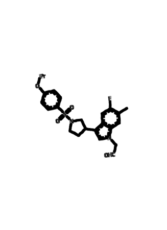 Cc1cc2c(cc1F)c(C1CCN(S(=O)(=O)c3ccc(OC(C)C)cc3)C1)cn2CC=O